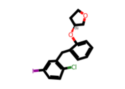 Clc1ccc(I)cc1Cc1ccccc1O[C@H]1CCOC1